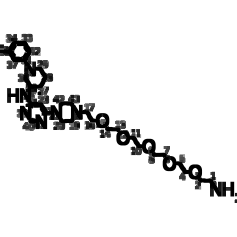 NCCOCCOCCOCCOCCOCCN1CCN(c2cc(N[C@@H]3CCCN(c4cccc(F)c4)C3)ncn2)CC1